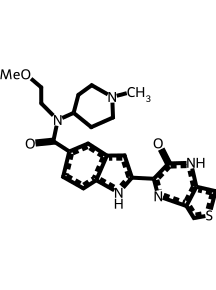 COCCN(C(=O)c1ccc2[nH]c(-c3nc4cscc4[nH]c3=O)cc2c1)C1CCN(C)CC1